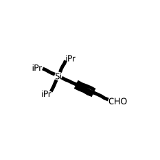 CC(C)[Si](C#CC=O)(C(C)C)C(C)C